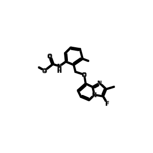 COC(=O)Nc1cccc(C)c1COc1cccn2c(F)c(C)nc12